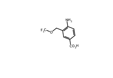 Nc1ccc(C(=O)O)cc1COC(F)(F)F